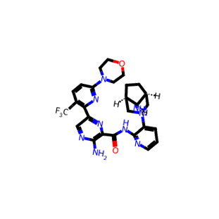 Nc1ncc(-c2nc(N3CCOCC3)ccc2C(F)(F)F)nc1C(=O)Nc1ncccc1N1C[C@H]2CC[C@@H](C1)[C@H]2N